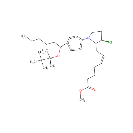 CCCCCC(O[Si](C)(C)C(C)(C)C)c1ccc(N2CC[C@@H](Cl)[C@@H]2C/C=C\CCCC(=O)OC)cc1